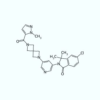 Cn1nccc1C(=O)N1CC2(C1)CN(c1cncc(N3C(=O)c4ccc(Cl)cc4C3(C)C)c1)C2